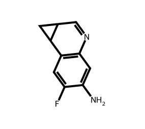 Nc1cc2c(cc1F)C1CC1C=N2